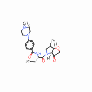 CC(C)C[C@H](NC(=O)c1ccc(N2CCN(C)CC2)cc1)C(=O)N1C[C@@H](C(C)C)[C@H]2OCC(=O)[C@H]21